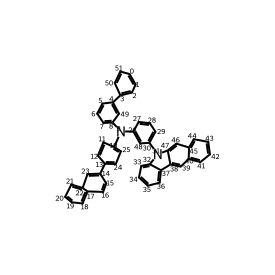 c1ccc(-c2cccc(N(c3ccc(-c4ccc5ccccc5c4)cc3)c3cccc(-n4c5ccccc5c5cc6ccccc6cc54)c3)c2)cc1